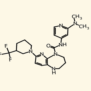 CN(C)c1cc(NC(=O)N2CCCNc3ccc(N4CCCC(C(F)(F)F)C4)nc32)ccn1